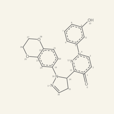 O=c1ccn(-c2cccc(O)c2)nc1C1CC=NN1c1ccc2c(c1)OCCO2